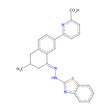 CC1C/C(=N\Nc2nc3ccccc3s2)c2cc(-c3cccc(C(=O)O)n3)ccc2C1